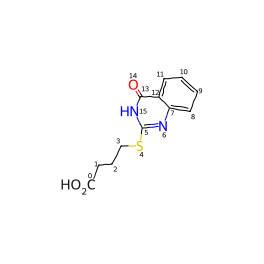 O=C(O)CCCSc1nc2ccccc2c(=O)[nH]1